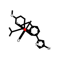 COC1CCC2(CC1)Cc1ccc(-c3cc(Br)cs3)cc1C21NC(=O)N(C(C)C)C1=O